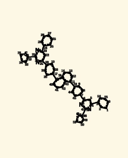 c1ccc(-c2cc(-c3ccc(-c4cccc5c(-c6ccc(-c7cc(-c8ccccc8)nc(-c8cccs8)n7)cc6)cccc45)cc3)nc(-c3cccs3)n2)cc1